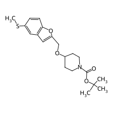 CSc1ccc2oc(COC3CCN(C(=O)OC(C)(C)C)CC3)cc2c1